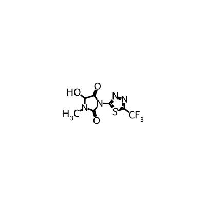 CN1C(=O)N(c2nnc(C(F)(F)F)s2)C(=O)C1O